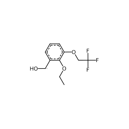 CCOc1c([CH]O)cccc1OCC(F)(F)F